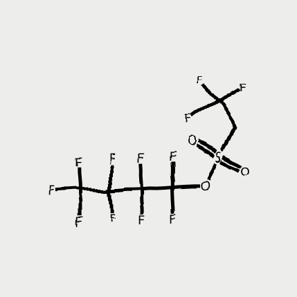 O=S(=O)(CC(F)(F)F)OC(F)(F)C(F)(F)C(F)(F)C(F)(F)F